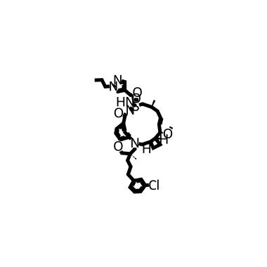 CCCn1cc(C(=O)NS2(=O)=NC(=O)c3ccc4c(c3)N(C[C@@H]3CC[C@H]3[C@@H](OC)/C=C/C[C@H](C)C2)C[C@@](C)(CCCc2cccc(Cl)c2)CO4)cn1